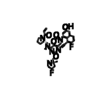 C#Cc1c(F)ccc2cc(O)cc(N3Cc4nc(OC[C@]5(C)C[C@@H](F)CN5C)nc(N(C)C[C@@H]5CCCN5C(=O)C=C)c4OC3=O)c12